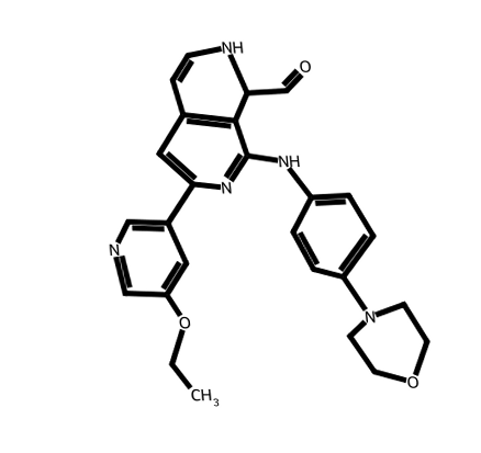 CCOc1cncc(-c2cc3c(c(Nc4ccc(N5CCOCC5)cc4)n2)C(C=O)NC=C3)c1